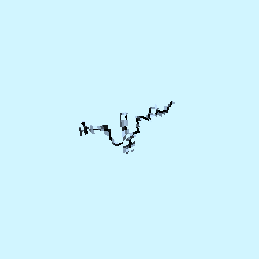 CCOCCCS(=O)(=O)CCNC